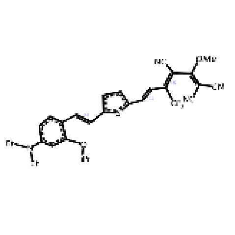 CCN(CC)c1ccc(/C=C/c2ccc(/C=C/C(=C(\C#N)C(OC)=C(C#N)C#N)C(F)(F)F)s2)c(OC(C)C)c1